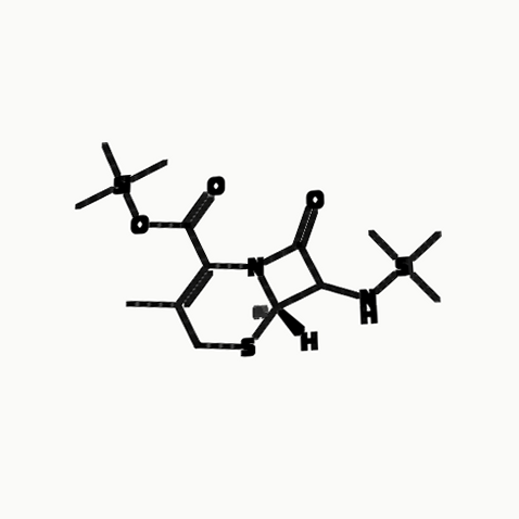 CC1=C(C(=O)O[Si](C)(C)C)N2C(=O)C(N[Si](C)(C)C)[C@@H]2SC1